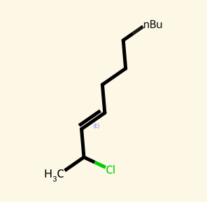 CCCCCCC/C=C/C(C)Cl